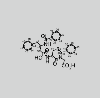 O=C(O)CN1C(=O)C(NP(=O)(O)CC(Cc2ccccc2)NC(=O)c2ccccc2)CS[C@@H]1c1ccccc1